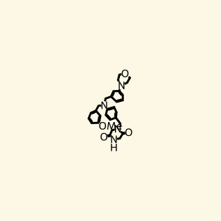 COc1cccc(CN(Cc2cccc(N3CCOCC3)c2)c2ccc(CN3CC(=O)NCC3=O)cc2)c1